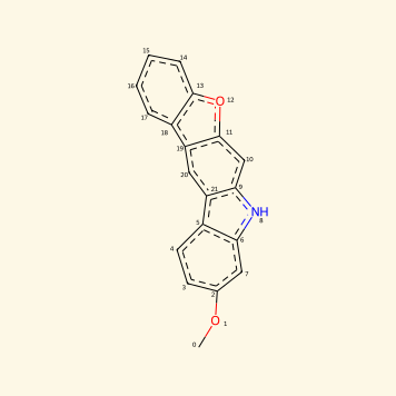 COc1ccc2c(c1)[nH]c1cc3oc4ccccc4c3cc12